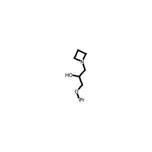 CC(C)OCC(O)CN1CCC1